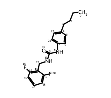 CCCCc1ccc(NC(=O)NCc2c(F)cccc2F)cc1